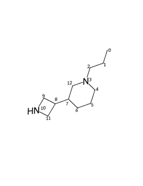 CCCN1CCCC(C2CNC2)C1